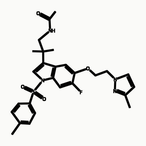 CC(=O)NCC(C)(C)c1cn(S(=O)(=O)c2ccc(C)cc2)c2cc(F)c(OCCn3ccc(C)n3)cc12